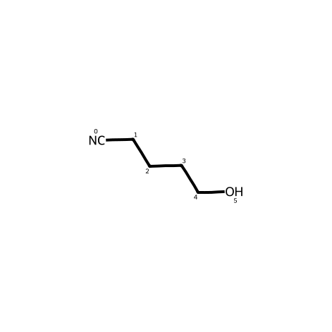 N#CCCCCO